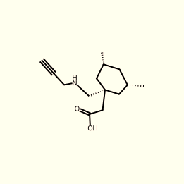 C#CCNC[C@]1(CC(=O)O)C[C@H](C)C[C@H](C)C1